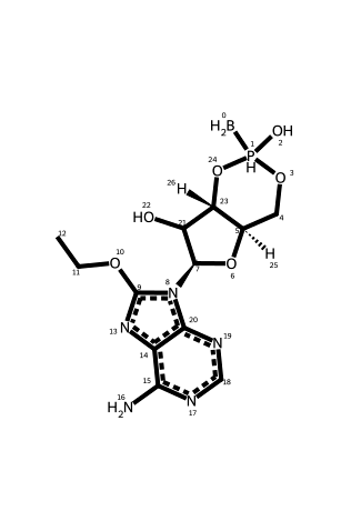 B[PH]1(O)OC[C@H]2O[C@@H](n3c(OCC)nc4c(N)ncnc43)C(O)[C@@H]2O1